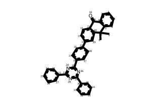 CC1(C)c2ccccc2C(=O)c2ccc(-c3ccc(-c4nc(-c5ccccc5)nc(-c5ccccc5)n4)cc3)cc21